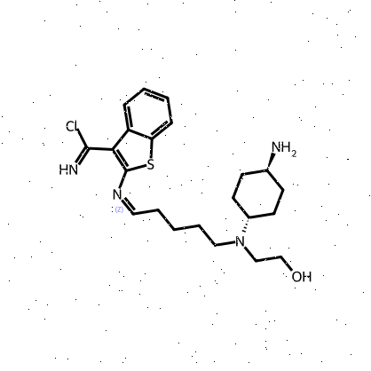 N=C(Cl)c1c(/N=C\CCCCN(CCO)[C@H]2CC[C@H](N)CC2)sc2ccccc12